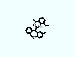 CCc1cccc(CC)c1NC(=O)C1c2ccccc2COc2ccc(C)cc21